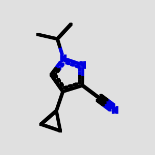 CC(C)n1cc(C2CC2)c(C#N)n1